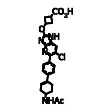 CC(=O)NC1CC=C(c2ccc(-c3nc4nc(OC5CC(C(=O)O)C5)[nH]c4cc3Cl)cc2)CC1